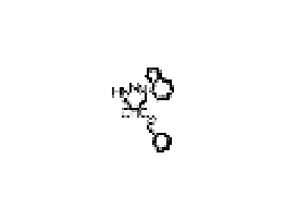 C1=CN=NNC=C1.O=COCc1ccccc1.c1ccc2cccc-2cc1